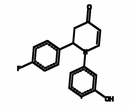 O=C1C=CN(c2cc[c]c(O)c2)C(c2ccc(F)cc2)C1